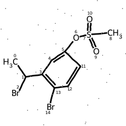 CC(Br)c1cc(OS(C)(=O)=O)ccc1Br